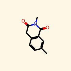 Cc1ccc2c(c1)C(=O)N(C)C(=O)C2